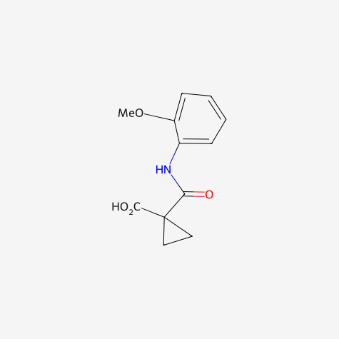 COc1ccccc1NC(=O)C1(C(=O)O)CC1